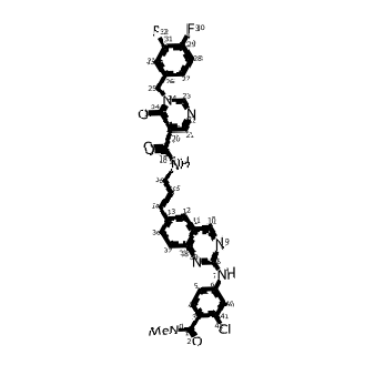 CNC(=O)c1ccc(Nc2ncc3cc(C=CCNC(=O)c4cncn(Cc5ccc(F)c(F)c5)c4=O)ccc3n2)cc1Cl